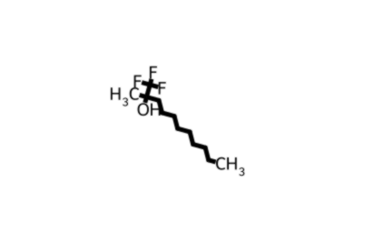 CCCCCCCCCC(C)(O)C(F)(F)F